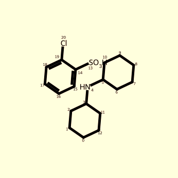 C1CCC(NC2CCCCC2)CC1.O=S(=O)(O)c1ccccc1Cl